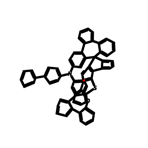 c1ccc(-c2ccc(N(c3ccc4c(c3)-c3ccccc3-c3ccccc3O4)c3ccc4c(c3)C3(c5ccccc5-c5ccccc5-4)c4ccccc4-c4c3ccc3c4sc4ccccc43)cc2)cc1